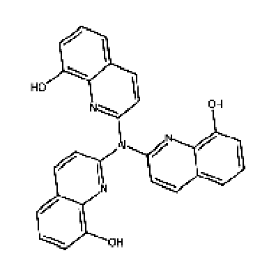 Oc1cccc2cc[c]([Al]([c]3ccc4cccc(O)c4n3)[c]3ccc4cccc(O)c4n3)nc12